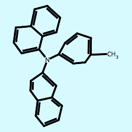 CC1=CC=CC(N(c2ccc3ccccc3c2)c2cccc3ccccc23)=CC1